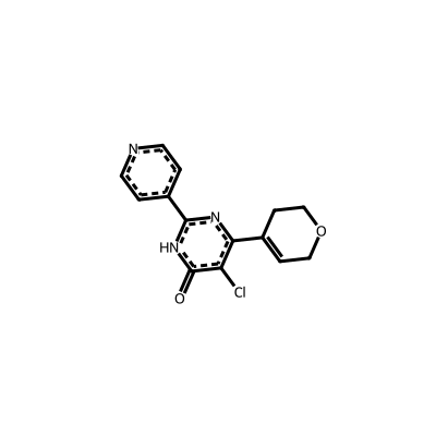 O=c1[nH]c(-c2ccncc2)nc(C2=CCOCC2)c1Cl